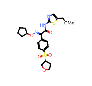 COCc1cnc(NC(=O)/C(=N/OC2CCCC2)c2ccc(S(=O)(=O)[C@H]3CCOC3)cc2)s1